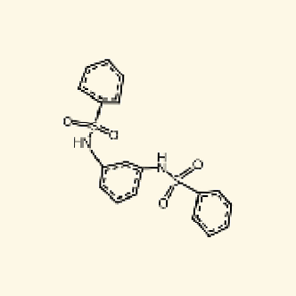 O=S(=O)(Nc1cccc(NS(=O)(=O)c2ccccc2)c1)c1ccccc1